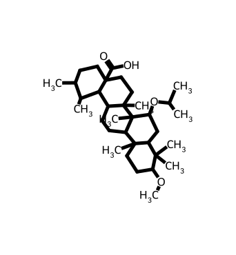 COC1CCC2(C)C(CC(OC(C)C)C3(C)C2CCC2C4C(C)C(C)CCC4(C(=O)O)CCC23C)C1(C)C